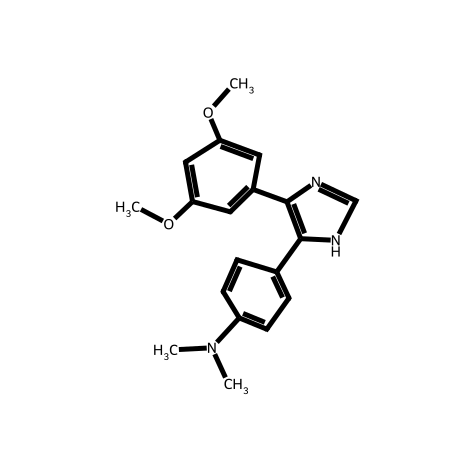 COc1cc(OC)cc(-c2nc[nH]c2-c2ccc(N(C)C)cc2)c1